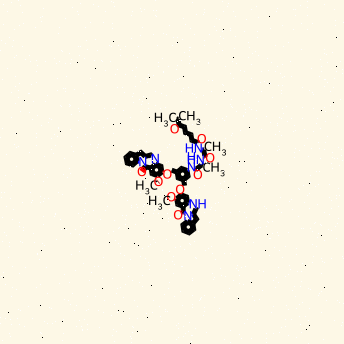 COc1cc2c(cc1OCc1cc(COc3cc4c(cc3OC)C(=O)N3c5ccccc5CC3CN4)cc(NC(=O)C(C)NC(=O)C(C)NC(=O)CCCCC(=O)C(C)C)c1)N=CC1Cc3ccccc3N1C2=O